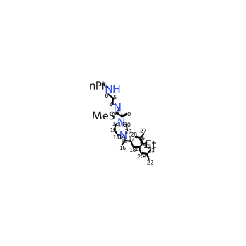 C=C(/C(=N/CCCNCCC)SC)N1CCCN(C(C)C/C=C(/C=C(C)C)C(CC)=C(C)C)CC1